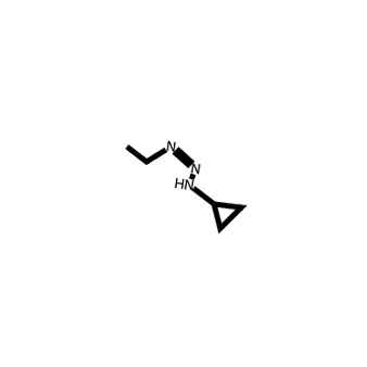 CC/N=N\NC1CC1